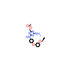 C#CCOc1cccc(Oc2ccc(Nc3nc(N)nc(COC(C)=O)n3)cc2)c1